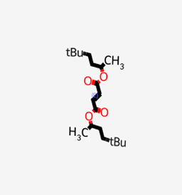 CC(CCC(C)(C)C)OC(=O)/C=C/C(=O)OC(C)CCC(C)(C)C